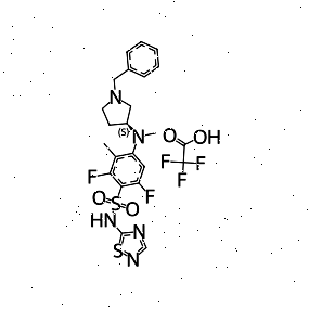 Cc1c(N(C)[C@H]2CCN(Cc3ccccc3)C2)cc(F)c(S(=O)(=O)Nc2ncns2)c1F.O=C(O)C(F)(F)F